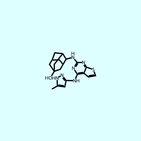 Cc1cc(Nc2nc(NC3C4CC5CC3CC(O)(C5)C4)nc3sccc23)n[nH]1